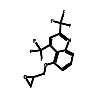 FC(F)(F)c1cc(C(F)(F)F)c2c(OCC3CO3)cccc2n1